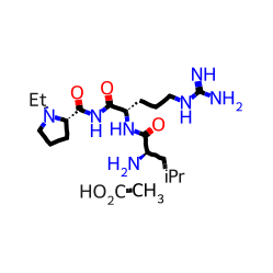 CC(=O)O.CCN1CCC[C@H]1C(=O)NC(=O)[C@H](CCCNC(=N)N)NC(=O)[C@H](N)CC(C)C